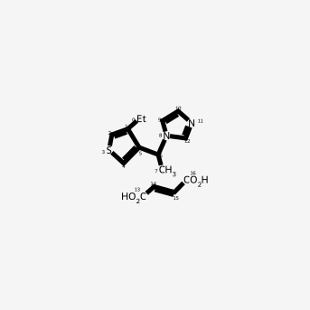 CCc1cscc1C(C)n1ccnc1.O=C(O)C=CC(=O)O